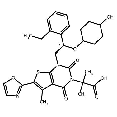 CCc1ccccc1[C@H](Cn1c(=O)n(C(C)(C)C(=O)O)c(=O)c2c(C)c(-c3ncco3)sc21)OC1CCC(O)CC1